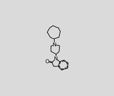 O=C1Cc2ccccc2N1C1CCN(C2CCCCCCC2)CC1